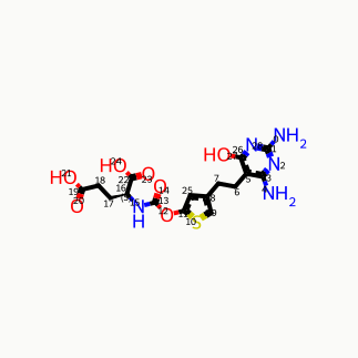 Nc1nc(N)c(CCc2csc(OC(=O)N[C@@H](CCC(=O)O)C(=O)O)c2)c(O)n1